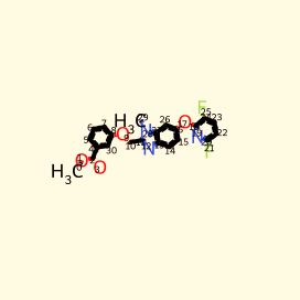 COC(=O)c1cccc(OCc2nc3ccc(Oc4nc(F)ccc4F)cc3n2C)c1